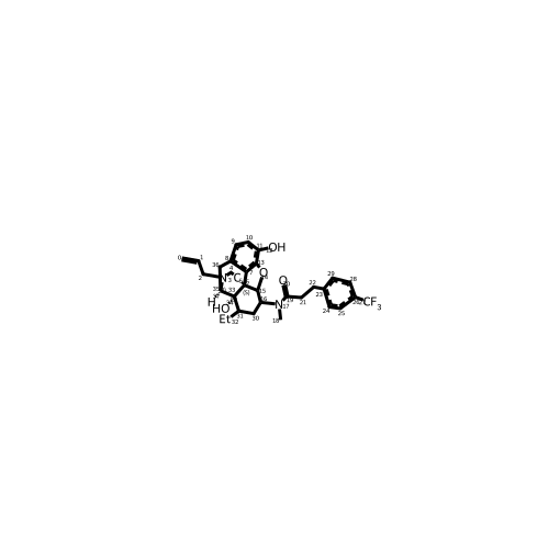 C=CCN1CC[C@]23c4c5ccc(O)c4OC2C(N(C)C(=O)CCc2ccc(C(F)(F)F)cc2)CC(CC)[C@@]3(O)[C@H]1C5